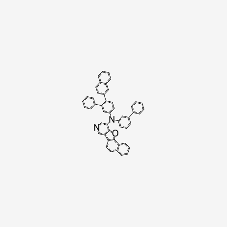 c1ccc(-c2cccc(N(c3ccc(-c4ccc5ccccc5c4)c(-c4ccccc4)c3)c3cncc4c3oc3c5ccccc5ccc43)c2)cc1